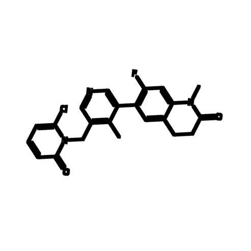 Cc1c(Cn2c(Cl)cccc2=O)cncc1-c1cc2c(cc1F)N(C)C(=O)CC2